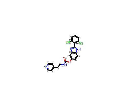 O=C(NCCc1ccncc1)Oc1ccc2[nH]c(-c3c(Cl)cccc3Cl)nc2c1